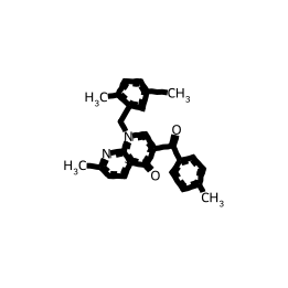 Cc1ccc(C(=O)c2cn(Cc3cc(C)ccc3C)c3nc(C)ccc3c2=O)cc1